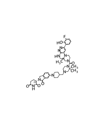 CC1(C)CN(CC2CCN(c3ccc4c(c3)C(=O)N([C@H]3CCC(=O)NC3=O)C4)CC2)CCN1C(=O)N1CCN2c3cc(-c4cccc(F)c4O)nnc3NC[C@]2(C)C1